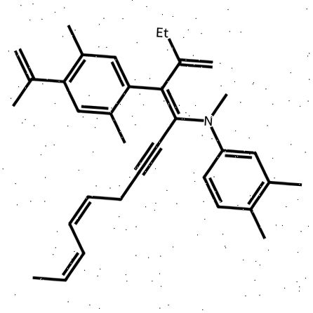 C=C(CC)/C(=C(/C#CC/C=C\C=C/C)N(C)c1ccc(C)c(C)c1)c1cc(C)c(C(=C)C)cc1C